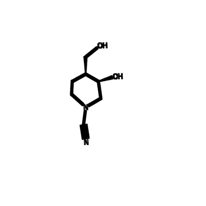 N#CN1CC[C@@H](CO)[C@@H](O)C1